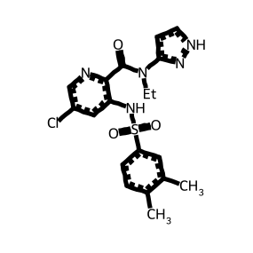 CCN(C(=O)c1ncc(Cl)cc1NS(=O)(=O)c1ccc(C)c(C)c1)c1cc[nH]n1